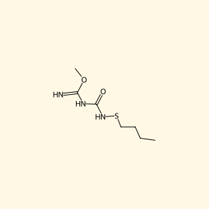 CCCCSNC(=O)NC(=N)OC